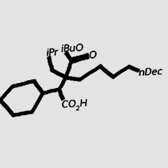 CCCCCCCCCCCCCCC(CC(C)C)(C(=O)OCC(C)C)C(C(=O)O)C1CCCCC1